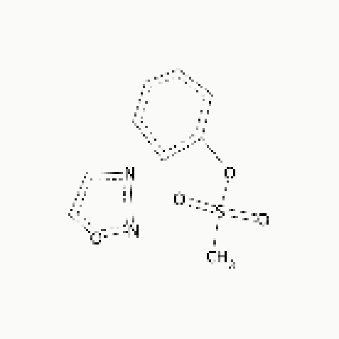 CS(=O)(=O)Oc1ccccc1.c1conn1